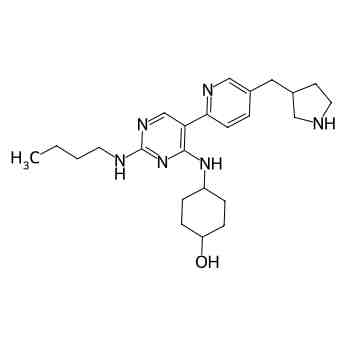 CCCCNc1ncc(-c2ccc(CC3CCNC3)cn2)c(NC2CCC(O)CC2)n1